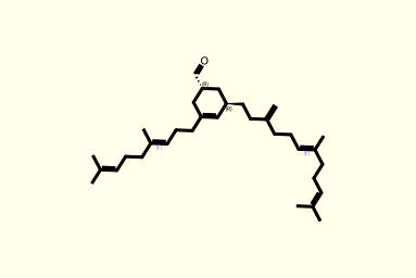 C=C(CC/C=C(\C)CCC=C(C)C)CC[C@H]1C=C(CC/C=C(\C)CCC=C(C)C)C[C@H](C=O)C1